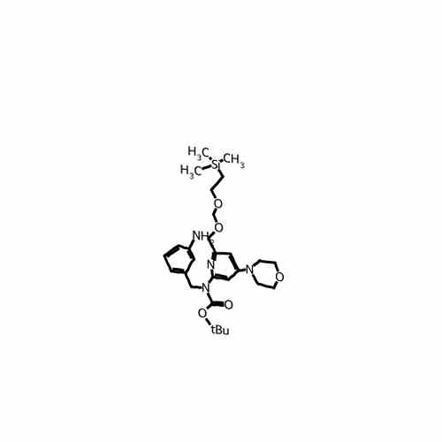 CC(C)(C)OC(=O)N(Cc1cccc(N)c1)c1cc(N2CCOCC2)cc(COCOCC[Si](C)(C)C)n1